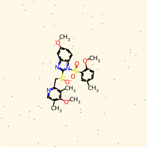 COc1ccc2c(c1)nc([S+]([O-])Cc1ncc(C)c(OC)c1C)n2S(=O)(=O)c1cc(C)ccc1OC